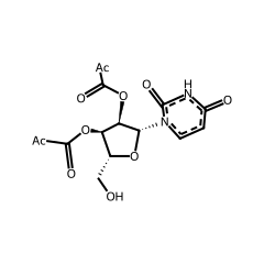 CC(=O)C(=O)O[C@@H]1[C@H](OC(=O)C(C)=O)[C@@H](CO)O[C@H]1n1ccc(=O)[nH]c1=O